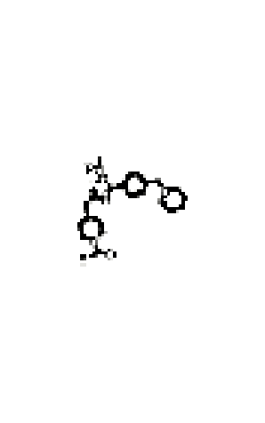 CCC(CC)N1CCC(Cc2noc(-c3ccc(CN4CCCCC4)cc3)n2)CC1.Cl.Cl